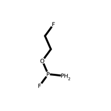 FCCOP(F)P